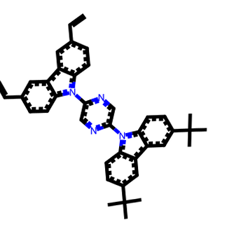 C=Cc1ccc2c(c1)c1cc(C=C)ccc1n2-c1cnc(-n2c3ccc(C(C)(C)C)cc3c3cc(C(C)(C)C)ccc32)cn1